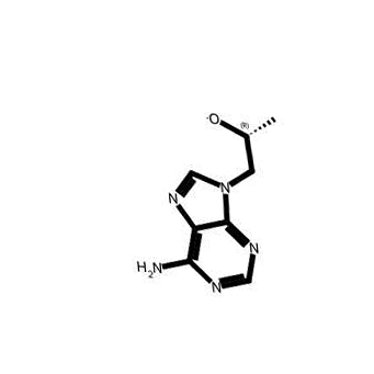 C[C@@H]([O])Cn1cnc2c(N)ncnc21